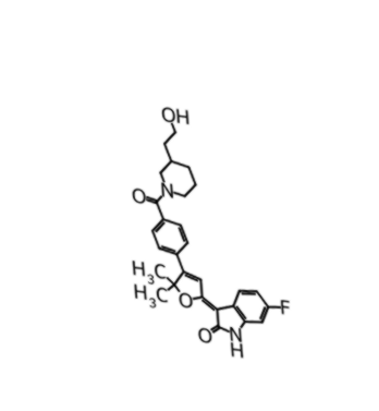 CC1(C)OC(=C2C(=O)Nc3cc(F)ccc32)C=C1c1ccc(C(=O)N2CCCC(CCO)C2)cc1